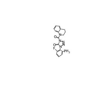 O=C(N1CCCc2ccccc21)n1nnn(-c2c(F)cccc2P)c1=O